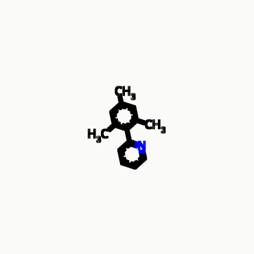 Cc1cc(C)c(-c2ccccn2)c(C)c1